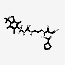 Cc1c(C)c(S(=O)(=O)NC(=N)NCCC[C@H](NC(=O)C2CCCC2)C(=O)C=[N+]=[N-])c(C)c2c1C(C)(C)OC2